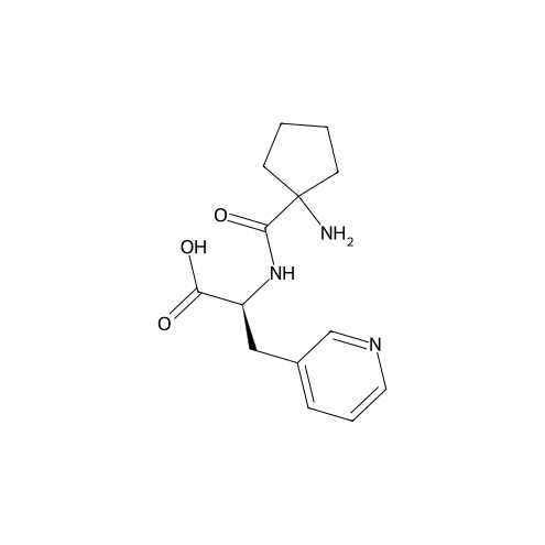 NC1(C(=O)N[C@@H](Cc2cccnc2)C(=O)O)CCCC1